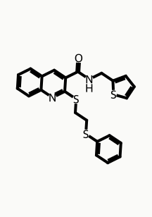 O=C(NCc1cccs1)c1cc2ccccc2nc1SCCSc1ccccc1